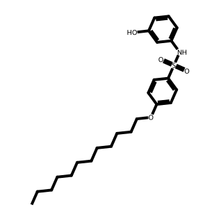 CCCCCCCCCCCCOc1ccc(S(=O)(=O)Nc2cccc(O)c2)cc1